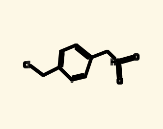 O=[SH](=O)Cc1c[c]c(CCl)cc1